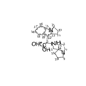 O=C(NCC12CCCN1CCC2)c1c2n(c3ccccc13)CCC2.O=CO